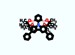 CC1(C)OB(c2cccc(B3OC(C)(C)C(C)(C)O3)c2-n2c3ccc(-c4ccccc4)cc3c3cc(-c4ccccc4)ccc32)OC1(C)C